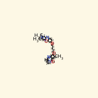 Cc1ccc(Oc2cc(OCCCCCOc3cc4c(cc3C)C(=O)N3CCC[C@H]3C=N4)ccc2N)cc1C